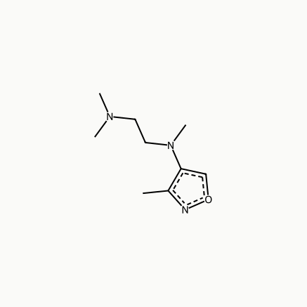 Cc1nocc1N(C)CCN(C)C